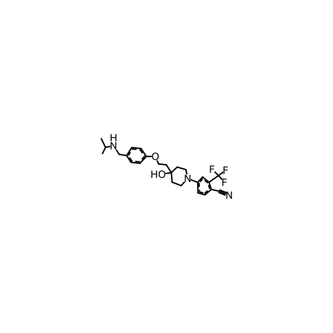 CC(C)NCc1ccc(OCCC2(O)CCN(c3ccc(C#N)c(C(F)(F)F)c3)CC2)cc1